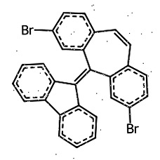 Brc1ccc2c(c1)C(=C1c3ccccc3-c3ccccc31)c1cc(Br)ccc1C=C2